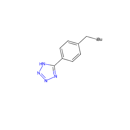 CCC(C)Cc1ccc(-c2nnn[nH]2)cc1